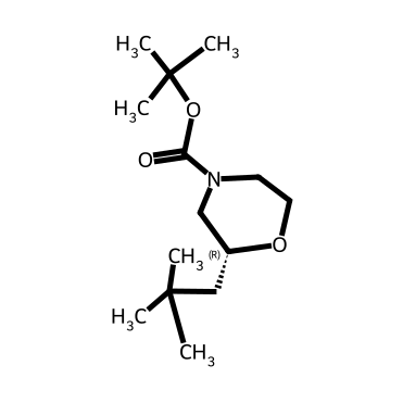 CC(C)(C)C[C@@H]1CN(C(=O)OC(C)(C)C)CCO1